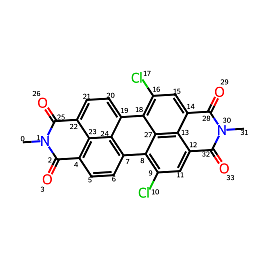 CN1C(=O)c2ccc3c4c(Cl)cc5c6c(cc(Cl)c(c7ccc(c2c37)C1=O)c64)C(=O)N(C)C5=O